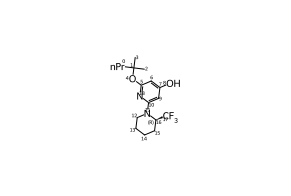 CCCC(C)(C)Oc1cc(O)cc(N2CCCC[C@@H]2C(F)(F)F)n1